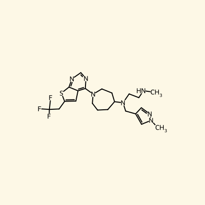 CNCCN(Cc1cnn(C)c1)C1CCCN(c2ncnc3sc(CC(F)(F)F)cc23)CC1